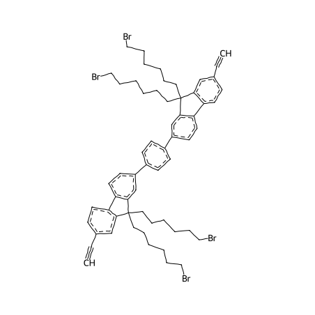 C#Cc1ccc2c(c1)C(CCCCCCBr)(CCCCCCBr)c1cc(-c3ccc(-c4ccc5c(c4)C(CCCCCCBr)(CCCCCCBr)c4cc(C#C)ccc4-5)cc3)ccc1-2